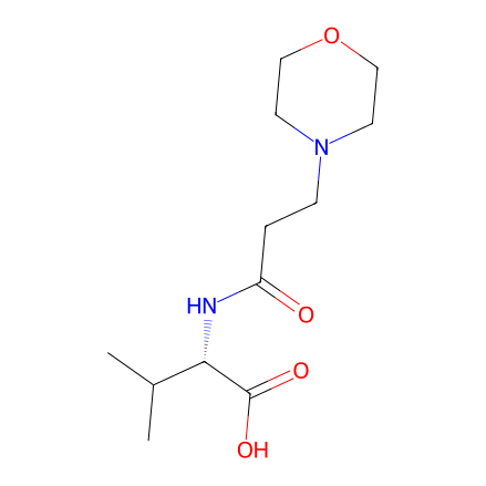 CC(C)[C@H](NC(=O)CCN1CCOCC1)C(=O)O